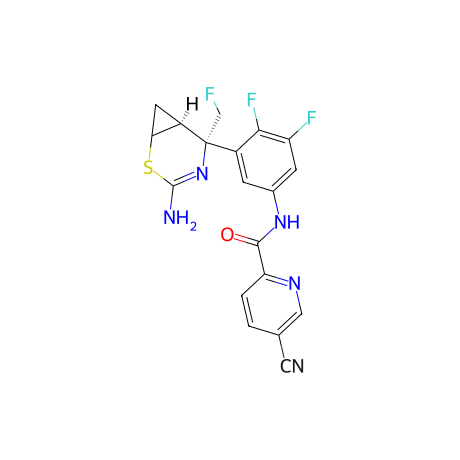 N#Cc1ccc(C(=O)Nc2cc(F)c(F)c([C@@]3(CF)N=C(N)SC4C[C@H]43)c2)nc1